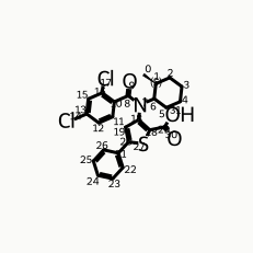 C[C@H]1CCCCC1N(C(=O)c1ccc(Cl)cc1Cl)c1cc(-c2ccccc2)sc1C(=O)O